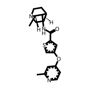 Cc1cc(Oc2csc(C(=O)N[C@@H]3C4CCN(CC4)[C@H]3C)c2)ccn1